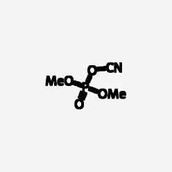 COP(=O)(OC)OC#N